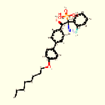 CCCCCCCCOc1ccc(-c2ccc(C(=O)C(N)(c3ccccc3F)P(=O)(O)O)cc2)cc1